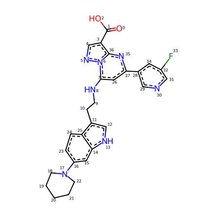 O=C(O)c1cnn2c(NCCc3c[nH]c4cc(N5CCCCC5)ccc34)cc(-c3cncc(F)c3)nc12